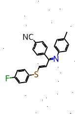 Cc1ccc(N=C(C=CSc2ccc(F)cc2)c2ccc(C#N)cc2)cc1